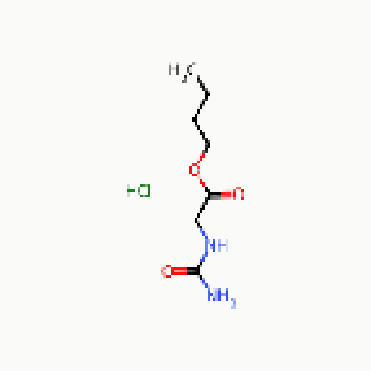 CCCCOC(=O)CNC(N)=O.Cl